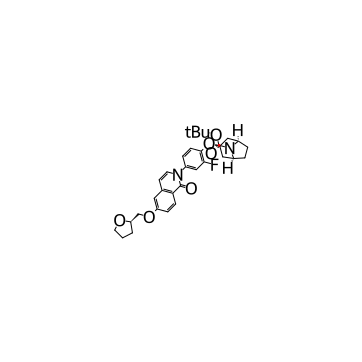 CC(C)(C)OC(=O)N1[C@@H]2CC[C@H]1C[C@@H](Oc1ccc(-n3ccc4cc(OC[C@H]5CCCO5)ccc4c3=O)cc1F)C2